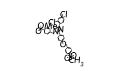 COC(=O)c1ccc(Cn2cc(-c3ccc(Cl)cc3Cl)nc2-c2ccc(OCc3ccc(S(C)(=O)=O)cc3)cc2)cc1